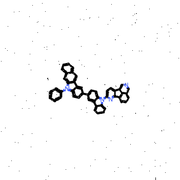 c1ccc(-n2c3ccc(-c4ccc5c(c4)c4ccccc4n5-c4ccc5c(n4)-c4cccc6cncc-5c46)cc3c3cc4ccccc4cc32)cc1